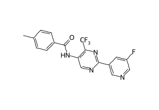 Cc1ccc(C(=O)Nc2cnc(-c3cncc(F)c3)nc2C(F)(F)F)cc1